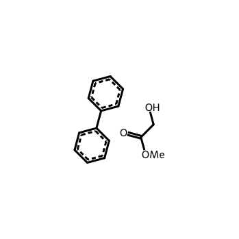 COC(=O)CO.c1ccc(-c2ccccc2)cc1